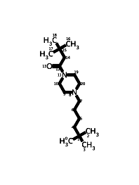 CC(C)(C)CCCCN1CCN(C(=O)CC(C)(C)C)CC1